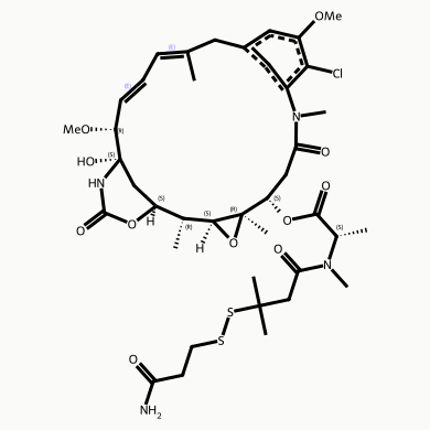 COc1cc2cc(c1Cl)N(C)C(=O)C[C@H](OC(=O)[C@H](C)N(C)C(=O)CC(C)(C)SSCCC(N)=O)[C@@]1(C)O[C@H]1[C@H](C)[C@@H]1C[C@@](O)(NC(=O)O1)[C@H](OC)/C=C/C=C(\C)C2